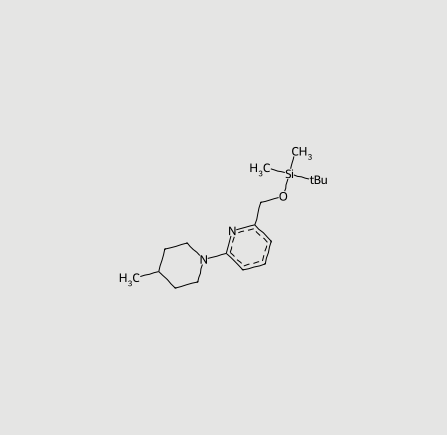 CC1CCN(c2cccc(CO[Si](C)(C)C(C)(C)C)n2)CC1